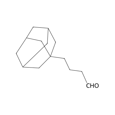 O=CCCCC12CC3CC(CC(C3)C1)C2